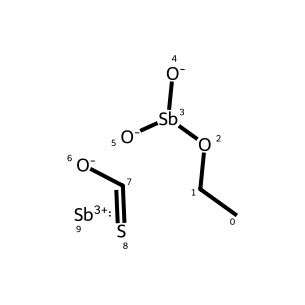 CC[O][Sb]([O-])[O-].[O-]C=S.[Sb+3]